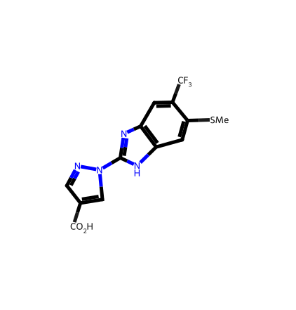 CSc1cc2[nH]c(-n3cc(C(=O)O)cn3)nc2cc1C(F)(F)F